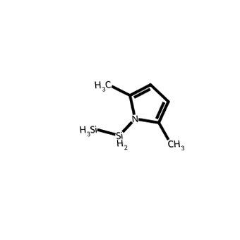 Cc1ccc(C)n1[SiH2][SiH3]